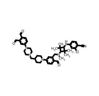 CN(Cc1cc(N2CCC(CN3CCN(c4ccc(C=O)c(C=O)c4)CC3)CC2)ccc1C=O)C1C(C)(C)C(Bc2ccc(C#N)c(Cl)c2)C1(C)C